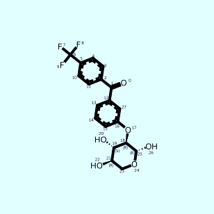 O=C(c1ccc(C(F)(F)F)cc1)c1cccc(O[C@@H]2[C@@H](O)[C@H](O)CO[C@H]2O)c1